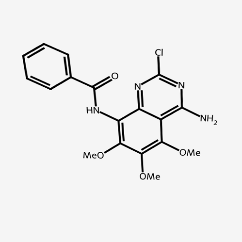 COc1c(OC)c(OC)c2c(N)nc(Cl)nc2c1NC(=O)c1ccccc1